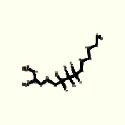 CCOCOCC(F)(F)C(F)(F)C(F)(F)COCC(C)OC